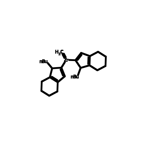 [CH2]=[Zr]([C]1=CC2=C(CCCC2)C1CCCC)[C]1=CC2=C(CCCC2)C1CCCC